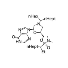 CCCCCCCC(CCCCCC)N1C[C@@H](COP(=O)(C(CC)CCCCCCC)N(C)C)O[C@@H](n2cnc3c(=O)[nH]cnc32)C1